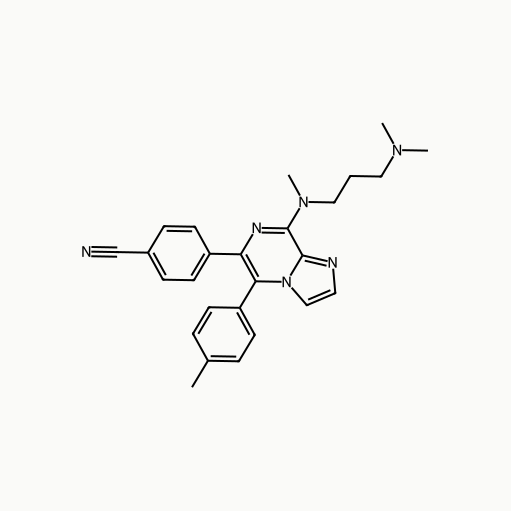 Cc1ccc(-c2c(-c3ccc(C#N)cc3)nc(N(C)CCCN(C)C)c3nccn23)cc1